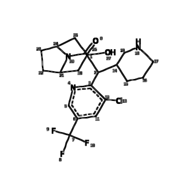 O=C(C(c1ncc(C(F)(F)F)cc1Cl)C1CCCNC1)N1C2CCC1CC(O)C2